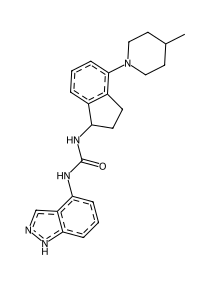 CC1CCN(c2cccc3c2CCC3NC(=O)Nc2cccc3[nH]ncc23)CC1